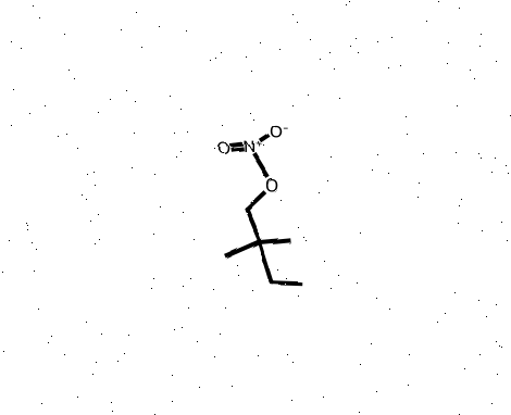 CCC(C)(C)CO[N+](=O)[O-]